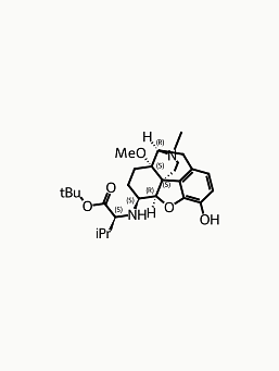 CO[C@@]12CC[C@H](N[C@H](C(=O)OC(C)(C)C)C(C)C)[C@@H]3Oc4c(O)ccc5c4[C@@]31CCN(C)[C@@H]2C5